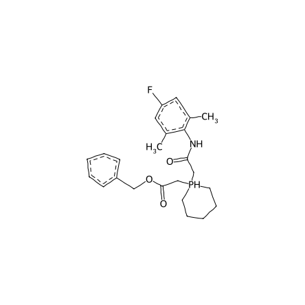 Cc1cc(F)cc(C)c1NC(=O)C[PH]1(CC(=O)OCc2ccccc2)CCCCC1